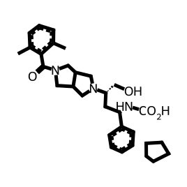 C1CCCC1.Cc1cccc(C)c1C(=O)N1CC2CN([C@H](CO)CC(NC(=O)O)c3ccccc3)CC2C1